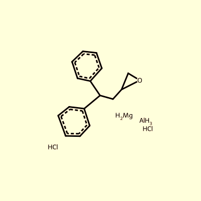 Cl.Cl.[AlH3].[MgH2].c1ccc(C(CC2CO2)c2ccccc2)cc1